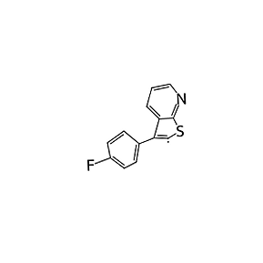 Fc1ccc(-c2[c]sc3ncccc23)cc1